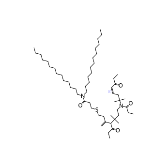 C=C(CCSCCC(=O)N(CCCCCCCCCCCCCC)CCCCCCCCCCCCCC)C(C(=O)CC)C(C)(C)CCN(C(=O)CC)C(C)(C)C/C=C\C(=O)CC